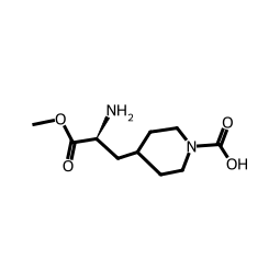 COC(=O)[C@@H](N)CC1CCN(C(=O)O)CC1